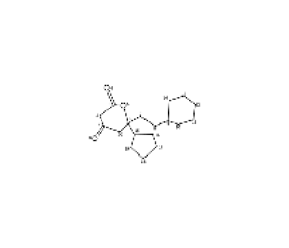 O=C1CC(=O)OC(CCC2CCCCC2)(C2CCCC2)C1